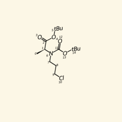 C[C@@H](C(=O)OC(C)(C)C)N(CCCCl)C(=O)OC(C)(C)C